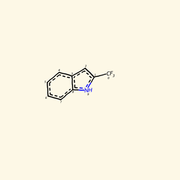 FC(F)(F)c1cc2ccccc2[nH]1